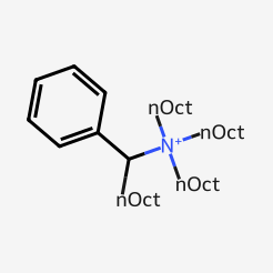 CCCCCCCCC(c1ccccc1)[N+](CCCCCCCC)(CCCCCCCC)CCCCCCCC